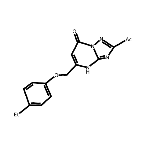 CCc1ccc(OCc2cc(=O)n3nc(C(C)=O)nc3[nH]2)cc1